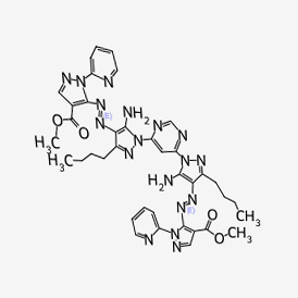 CCCCc1nn(-c2cc(-n3nc(CCCC)c(/N=N/c4c(C(=O)OC)cnn4-c4ccccn4)c3N)ncn2)c(N)c1/N=N/c1c(C(=O)OC)cnn1-c1ccccn1